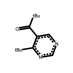 CC(C)(C)C(=O)c1cncnc1C(C)(C)C